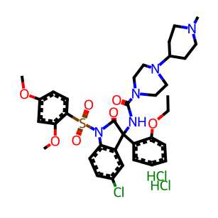 CCOc1ccccc1C1(NC(=O)N2CCN(C3CCN(C)CC3)CC2)C(=O)N(S(=O)(=O)c2ccc(OC)cc2OC)c2ccc(Cl)cc21.Cl.Cl